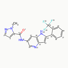 Cn1nccc1C(=O)Nc1cnc2cc(-c3ccccc3C(F)(F)F)[nH]c2c1